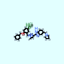 Cc1cc(-c2nc3cc(CN4CCCC4)ccc3[nH]2)nn1Cc1cc(Cl)ccc1OCc1ccccc1.Cl.Cl